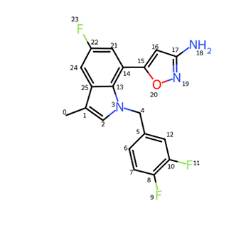 Cc1cn(Cc2ccc(F)c(F)c2)c2c(-c3cc(N)no3)cc(F)cc12